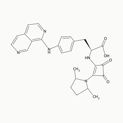 CC1CCC(C)N1c1c(N[C@@H](Cc2ccc(Nc3nccc4ccncc34)cc2)C(=O)O)c(=O)c1=O